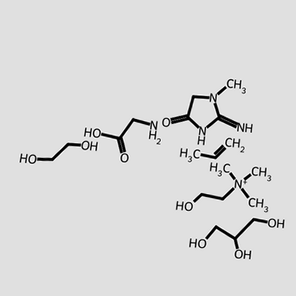 C=CC.CN1CC(=O)NC1=N.C[N+](C)(C)CCO.NCC(=O)O.OCC(O)CO.OCCO